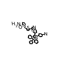 N#Cc1ccc(-c2nn(C(c3ccccc3)(c3ccccc3)C3C=CC=CC3)cc2-c2ccc3ncc(-c4ccc(CN5CCC[C@H]5C(N)=O)s4)n3c2)cc1